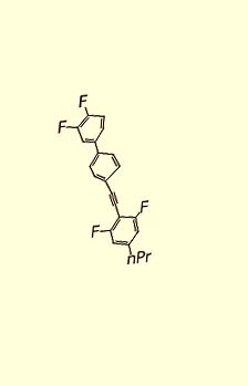 CCCc1cc(F)c(C#Cc2ccc(-c3ccc(F)c(F)c3)cc2)c(F)c1